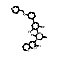 C=C(C)CN(C(=O)Nc1c(C(C)C)cc(-c2cccc(OCc3ccncc3)c2)cc1C(C)C)c1cc2cccnc2[nH]c1=O